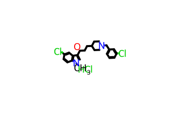 Cl.Cn1cc(C(=O)CCC2CCN(Cc3cccc(Cl)c3)CC2)c2cc(Cl)ccc21